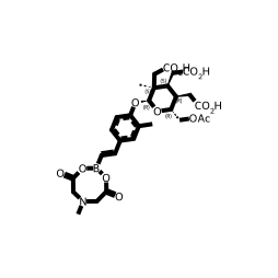 CC(=O)OC[C@@H]1O[C@H](Oc2ccc(C=CB3OC(=O)CN(C)CC(=O)O3)cc2C)[C@@](C)(CC(=O)O)[C@@H](CC(=O)O)[C@H]1CC(=O)O